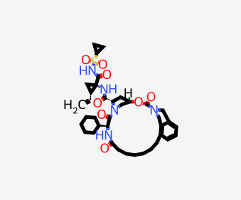 C=C[C@@H]1C[C@]1(NC(=O)[C@@H]1C[C@@H]2CN1C(=O)[C@H](C1CCCCC1)NC(=O)CCCCCCc1cccc3c1CN(C3)C(=O)O2)C(=O)NS(=O)(=O)C1CC1